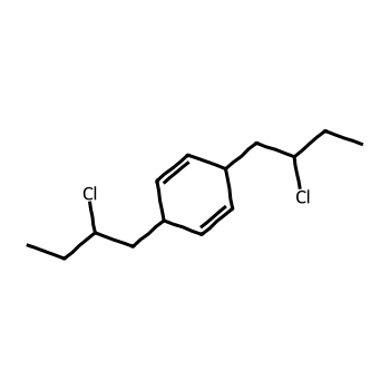 CCC(Cl)CC1C=CC(CC(Cl)CC)C=C1